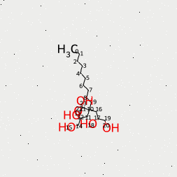 CCCCCCCCCCC(CC(O)CO)(CC(O)CO)C(=O)O